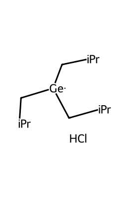 CC(C)[CH2][Ge]([CH2]C(C)C)[CH2]C(C)C.Cl